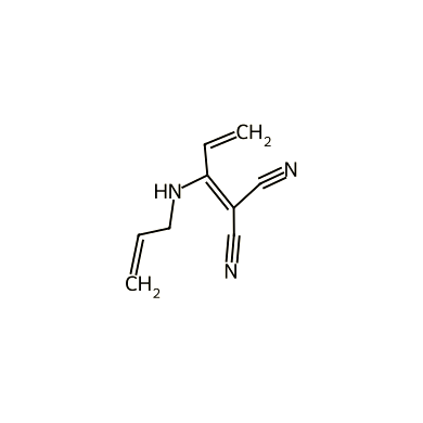 C=CCNC(C=C)=C(C#N)C#N